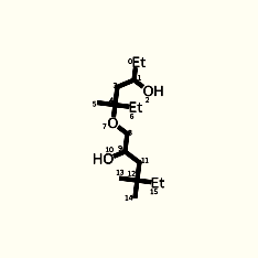 CCC(O)CC(C)(CC)OCC(O)CC(C)(C)CC